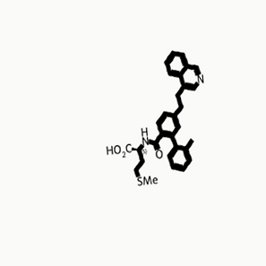 CSCC[C@H](NC(=O)c1ccc(CCc2cncc3ccccc23)cc1-c1ccccc1C)C(=O)O